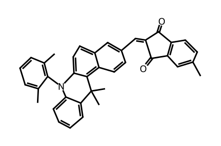 Cc1ccc2c(c1)C(=O)/C(=C\c1ccc3c4c(ccc3c1)N(c1c(C)cccc1C)c1ccccc1C4(C)C)C2=O